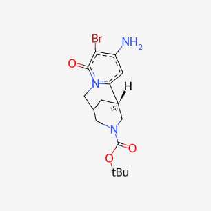 CC(C)(C)OC(=O)N1CC2C[C@@H](C1)c1cc(N)c(Br)c(=O)n1C2